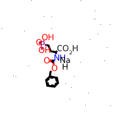 O=C(NC(CCP(=O)(O)O)C(=O)O)OCc1ccccc1.[NaH]